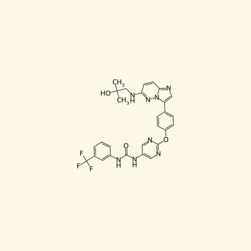 CC(C)(O)CNc1ccc2ncc(-c3ccc(Oc4ncc(NC(=O)Nc5cccc(C(F)(F)F)c5)cn4)cc3)n2n1